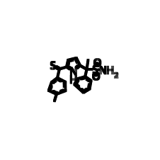 Cc1ccc(C(=S)c2ccc(C(C)(c3ccccc3)S(N)(=O)=O)[nH]2)cc1